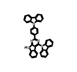 C[SiH]1c2ccccc2-c2c(-n3c4ccccc4c4ccccc43)nc(-c3ccc(-n4c5ccccc5c5ccccc54)cc3)nc21